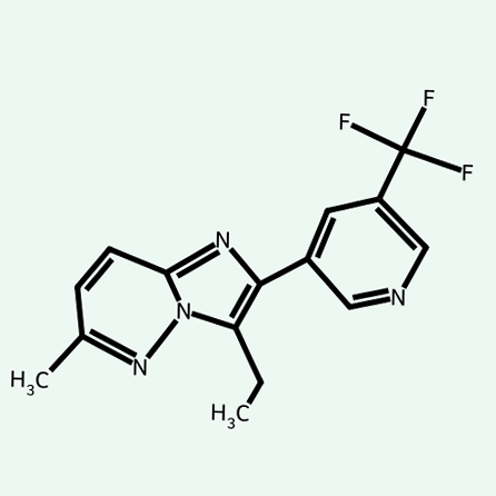 CCc1c(-c2cncc(C(F)(F)F)c2)nc2ccc(C)nn12